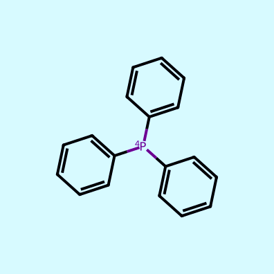 c1ccc([4P](c2ccccc2)c2ccccc2)cc1